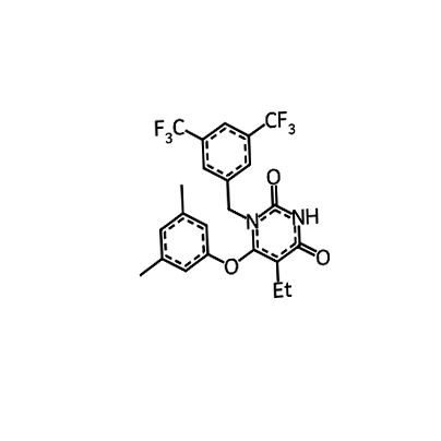 CCc1c(Oc2cc(C)cc(C)c2)n(Cc2cc(C(F)(F)F)cc(C(F)(F)F)c2)c(=O)[nH]c1=O